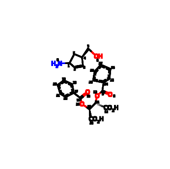 NC1C=C[C@H](CO)C1.O=C(O[C@H](C(=O)O)[C@H](OC(=O)c1ccccc1)C(=O)O)c1ccccc1